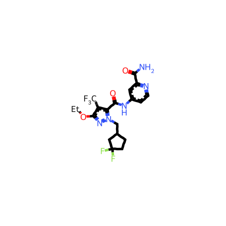 CCOc1nn(CC2CCC(F)(F)C2)c(C(=O)Nc2ccnc(C(N)=O)c2)c1C(F)(F)F